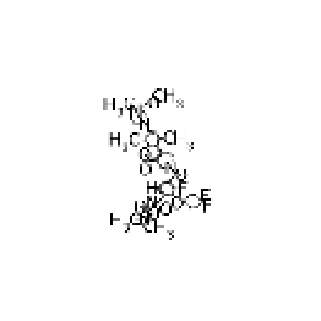 COC[C@H]1CN(c2cc(C)c3c4c(c(=O)oc3c2C)CN(C(=O)c2ccc(C(=O)NS(=O)(=O)N(C)C)c(OC3CCC(F)(F)CC3)c2F)CC4)CCN1C